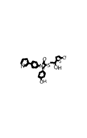 O=C1[C@H](SC[C@H](O)C2CC=C(Cl)S2)[C@@H](c2ccc(O)cc2)N1c1ccc(-c2cccnc2)cc1